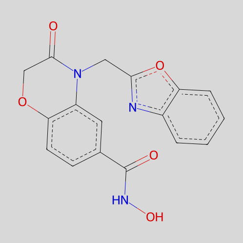 O=C(NO)c1ccc2c(c1)N(Cc1nc3ccccc3o1)C(=O)CO2